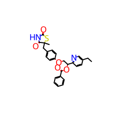 CCc1ccc(C(COc2ccc(CC3(C)SC(=O)NC3=O)cc2)OC(=O)c2ccccc2)nc1